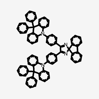 c1ccc(C2(c3ccccc3)c3ccccc3N(c3ccc(C4=NC5(N=C4c4ccc(N6c7ccccc7C(c7ccccc7)(c7ccccc7)c7ccccc76)cc4)c4ccccc4-c4ccccc45)cc3)c3ccccc32)cc1